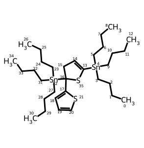 CCC[CH2][Sn]([CH2]CCC)([CH2]CCC)[C]1=CC[C](c2cccs2)([Sn]([CH2]CCC)([CH2]CCC)[CH2]CCC)S1